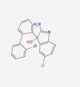 NC1=Nc2ccc(Cl)cc2C1(O)c1ccccc1-c1ccccc1Br